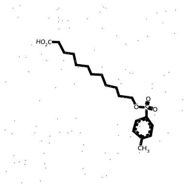 Cc1ccc(S(=O)(=O)OCCCCCCCCCCCC(=O)O)cc1